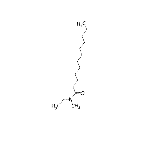 CCCCCCCCCCCC(=O)N(C)CC